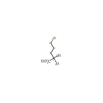 CCOC(=O)C(CC)(CC)CCCBr